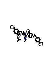 C=C(C)COc1ccc(Cl)cc1CN/N=C(\C=C\C)N1CCN(Cc2ccc(Cl)cc2)CC1=O